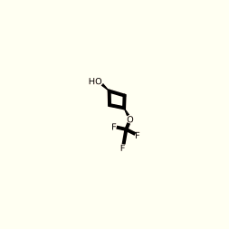 O[C@H]1C[C@@H](OC(F)(F)F)C1